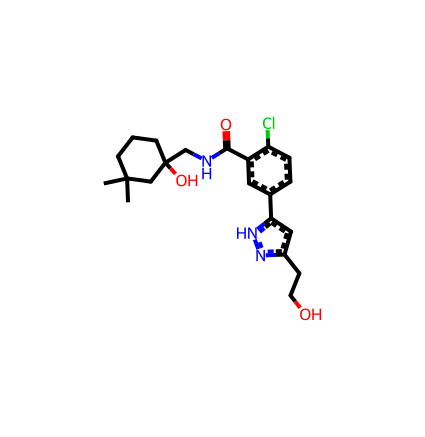 CC1(C)CCCC(O)(CNC(=O)c2cc(-c3cc(CCO)n[nH]3)ccc2Cl)C1